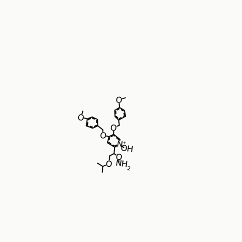 COc1ccc(COc2cc(C(COC(C)C)ON)[n+](O)cc2OCc2ccc(OC)cc2)cc1